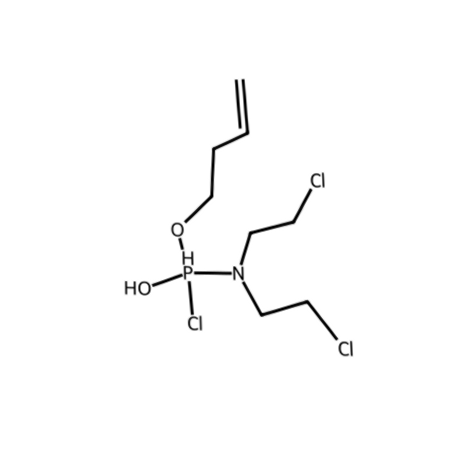 C=CCCO[PH](O)(Cl)N(CCCl)CCCl